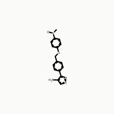 C[S+]([O-])c1ccc(OCc2ccc(-c3nocc3N)cc2)cc1